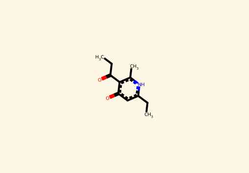 CCC(=O)c1c(C)[nH]c(CC)cc1=O